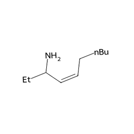 CCCCC/C=C\C(N)CC